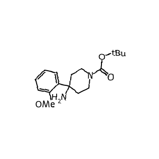 COc1ccccc1C1(N)CCN(C(=O)OC(C)(C)C)CC1